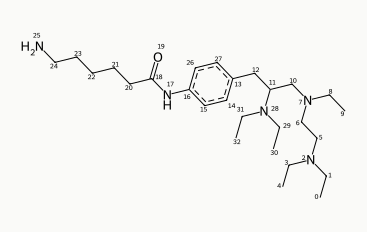 CCN(CC)CCN(CC)CC(Cc1ccc(NC(=O)CCCCCN)cc1)N(CC)CC